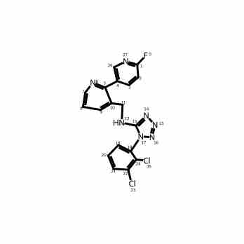 Fc1ccc(-c2ncccc2CNc2nnnn2-c2cccc(Cl)c2Cl)cn1